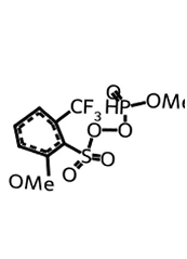 COc1cccc(C(F)(F)F)c1S(=O)(=O)OO[PH](=O)OC